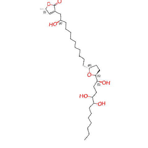 CCCCCCCC(O)C(O)CC[C@H](O)[C@@H]1CC[C@@H](CCCCCCCCCC[C@@H](O)CC2=C[C@H](C)OC2=O)O1